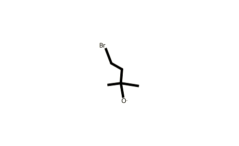 CC(C)([O])CCBr